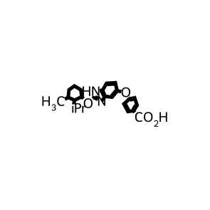 CC(C)C1C(C)CCCC1Oc1nc2cc(Oc3ccc(C(=O)O)cc3)ccc2[nH]1